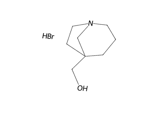 Br.OCC12CCCN(CC1)C2